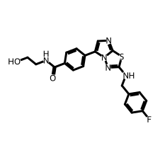 O=C(NCCO)c1ccc(-c2cnc3sc(NCc4ccc(F)cc4)nn23)cc1